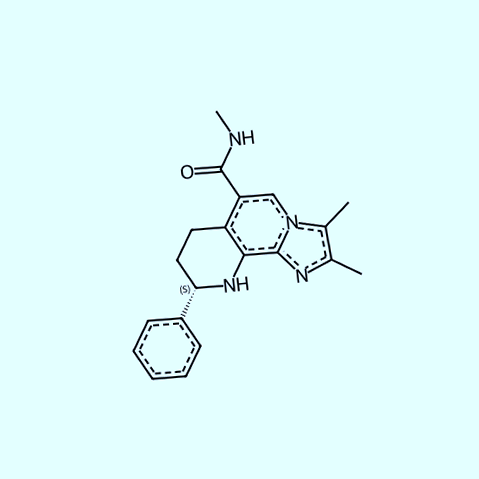 CNC(=O)c1cn2c(C)c(C)nc2c2c1CC[C@@H](c1ccccc1)N2